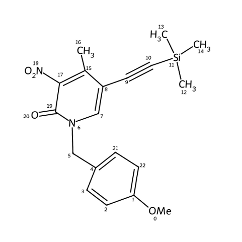 COc1ccc(Cn2cc(C#C[Si](C)(C)C)c(C)c([N+](=O)[O-])c2=O)cc1